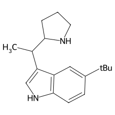 CC(c1c[nH]c2ccc(C(C)(C)C)cc12)C1CCCN1